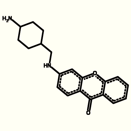 NC1CCC(CNc2ccc3c(=O)c4ccccc4oc3c2)CC1